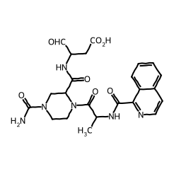 CC(NC(=O)c1nccc2ccccc12)C(=O)N1CCN(C(N)=O)CC1C(=O)NC(C=O)CC(=O)O